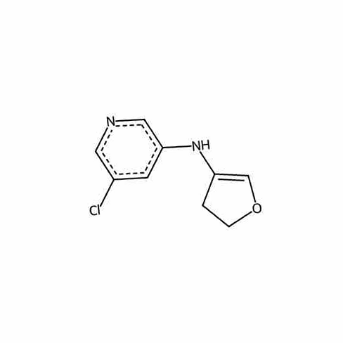 Clc1cncc(NC2=COCC2)c1